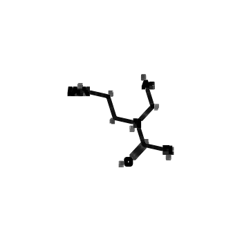 CCC(=O)N(CCNC)CC(C)=O